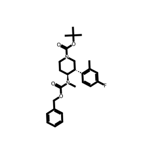 Cc1cc(F)ccc1[C@H]1CN(C(=O)OC(C)(C)C)CC[C@@H]1N(C)C(=O)OCc1ccccc1